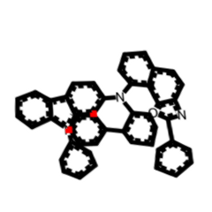 c1ccc(-c2nc3ccc4cccc(N(c5ccc6c7ccccc7n(-c7ccccc7)c6c5)c5ccccc5-c5ccccc5)c4c3o2)cc1